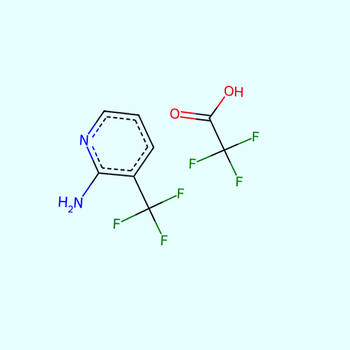 Nc1ncccc1C(F)(F)F.O=C(O)C(F)(F)F